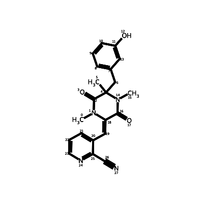 CN1C(=O)C(C)(Cc2cccc(O)c2)N(C)C(=O)/C1=C/c1cccnc1C#N